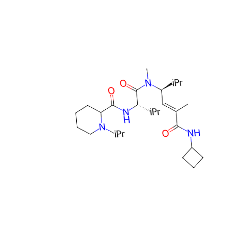 C/C(=C\[C@H](C(C)C)N(C)C(=O)[C@@H](NC(=O)C1CCCCN1C(C)C)C(C)C)C(=O)NC1CCC1